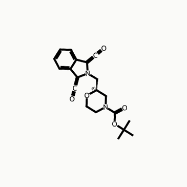 CC(C)(C)OC(=O)N1CCO[C@@H](Cn2c(=C=O)c3ccccc3c2=C=O)C1